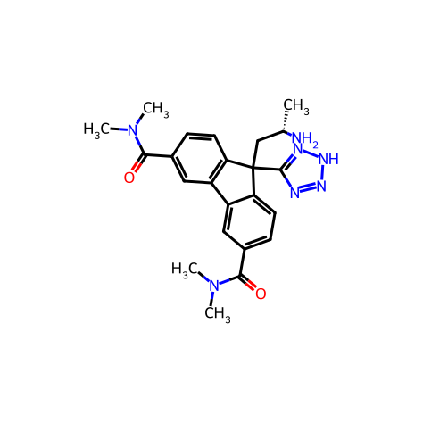 C[C@H](N)CC1(c2nn[nH]n2)c2ccc(C(=O)N(C)C)cc2-c2cc(C(=O)N(C)C)ccc21